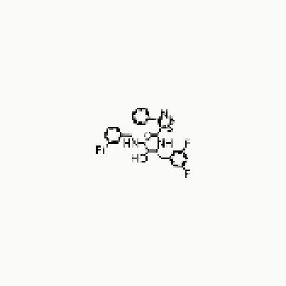 CCc1cccc(CNC[C@H](O)[C@@H](Cc2cc(F)cc(F)c2)NC(=O)c2snnc2-c2ccccc2)c1